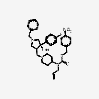 C=CCN(C(=O)OCc1ccc([N+](=O)[O-])cc1)C1CCN(CC2CN(Cc3ccccc3)CC2(O)c2ccc(F)cc2)CC1